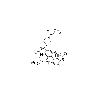 C=CC(=O)N1CCN(c2nc(=O)n3c4c(c(-c5c(F)cc(F)c6sc(=O)[nH]c56)c(C(F)(F)F)cc24)SCC(OC(C)C)C3)CC1